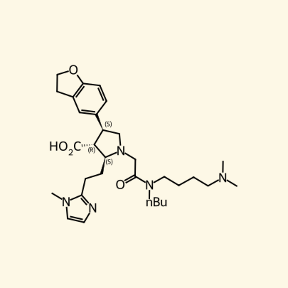 CCCCN(CCCCN(C)C)C(=O)CN1C[C@H](c2ccc3c(c2)CCO3)[C@@H](C(=O)O)[C@@H]1CCc1nccn1C